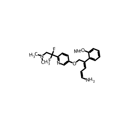 COc1ccccc1/C(=C/C=C\N)COc1ccc(C(F)(F)CN(C)C)nc1